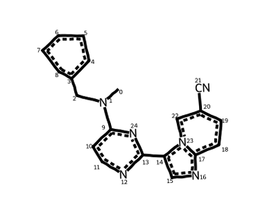 CN(Cc1ccccc1)c1ccnc(-c2cnc3ccc(C#N)cn23)n1